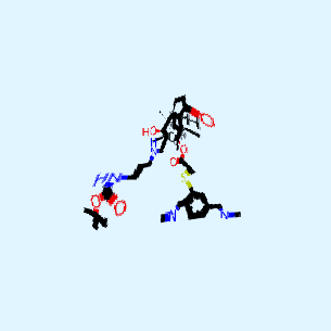 C=NCc1ccc(CN=C)c(SCC(=O)O[C@@H]2C[C@](C)(CNCCCNC(=O)OC(C)(C)C)[C@@H](O)[C@H](C)[C@]34CCC(=O)[C@H]3[C@@]2(C)[C@H](C)CC4)c1